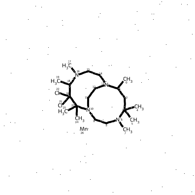 CC1CC(C)(C)N(C)CCN2CCN1CCN(C)C(C)C(Cl)(Cl)C2(C)C.[Mn]